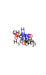 CCOC(=O)c1cc2c(c(C(C)N[S+]([O-])C(C)(C)C)c1)N=C(N1CCOCC1)CN2